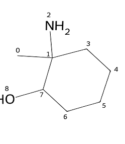 CC1(N)CCCCC1O